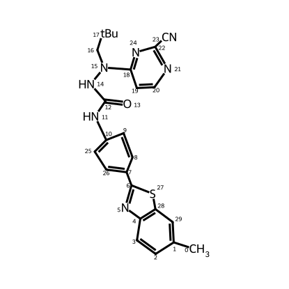 Cc1ccc2nc(-c3ccc(NC(=O)NN(CC(C)(C)C)c4ccnc(C#N)n4)cc3)sc2c1